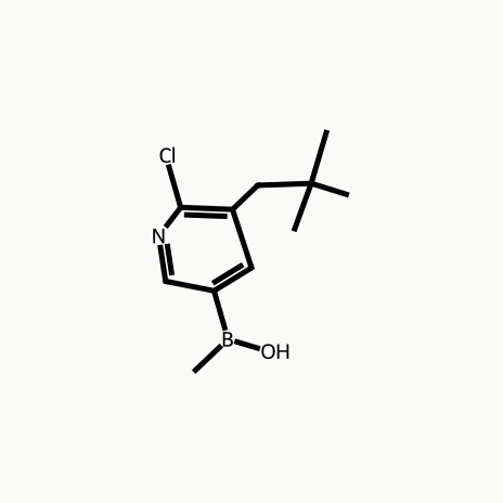 CB(O)c1cnc(Cl)c(CC(C)(C)C)c1